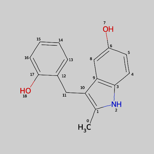 Cc1[nH]c2ccc(O)cc2c1Cc1ccccc1O